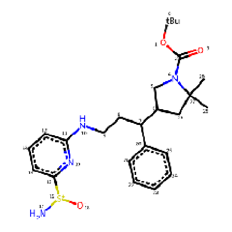 CC(C)(C)OC(=O)N1CC(C(CCNc2cccc([S+](N)[O-])n2)c2ccccc2)CC1(C)C